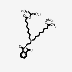 C=C(CCCCCCCN(CCCCCCCC(=O)OC(CCCCCCCC)CCCCCCCC)CCN1C(=O)c2ccccc2C1=O)OCCCCCCCCC